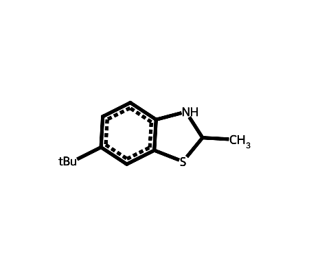 CC1Nc2ccc(C(C)(C)C)cc2S1